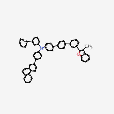 Cc1c(-c2cccc(-c3ccc(-c4ccc(N(c5ccc(-c6ccc7c(ccc8ccccc87)c6)cc5)c5cccc(-c6ccccc6)c5)cc4)cc3)c2)oc2ccccc12